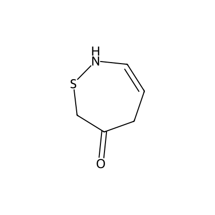 O=C1CC=CNSC1